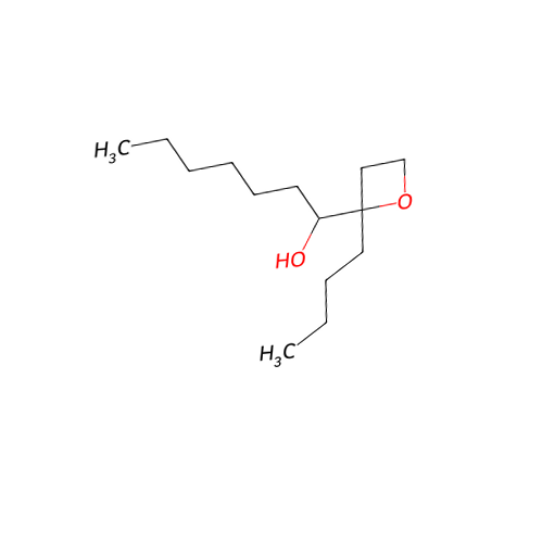 CCCCCCC(O)C1(CCCC)CCO1